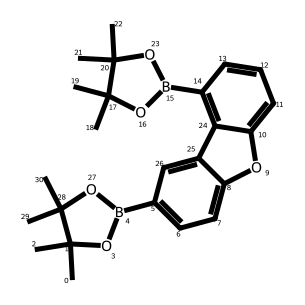 CC1(C)OB(c2ccc3oc4cccc(B5OC(C)(C)C(C)(C)O5)c4c3c2)OC1(C)C